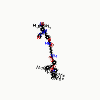 CC[C@H](C(=O)N1CCCC[C@H]1C(=O)OC(CCc1ccc(OC)c(OC)c1)c1cccc(OCC(=O)NCCCCCCCC(=O)NCCOc2ccc(CCc3nc4cc(-c5c(C)noc5C)ccc4n3CCN3CCOCC3)cc2)c1)c1cc(OC)c(OC)c(OC)c1